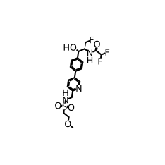 COCCS(=O)(=O)NCc1ccc(-c2ccc([C@@H](O)[C@@H](CF)NC(=O)C(F)F)cc2)cn1